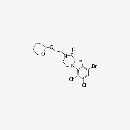 O=C1c2cc3c(Br)cc(Cl)c(Cl)c3n2CCN1CCOC1CCCCO1